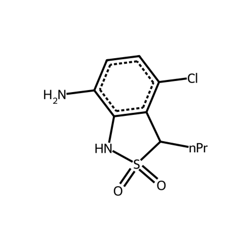 CCCC1c2c(Cl)ccc(N)c2NS1(=O)=O